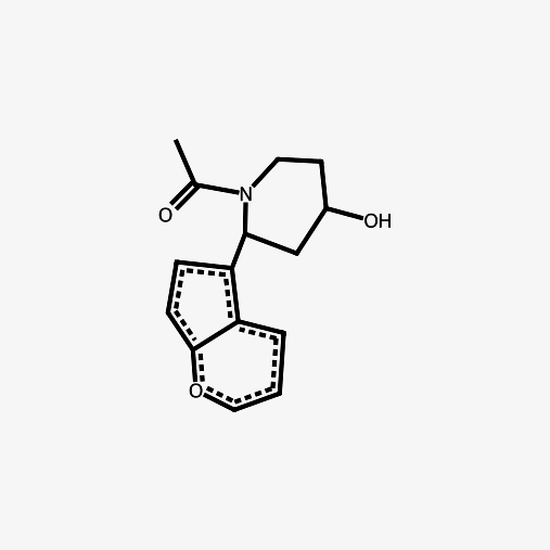 CC(=O)N1CCC(O)CC1c1ccc2occcc1-2